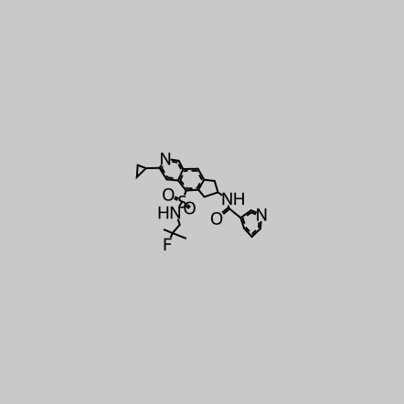 CC(C)(F)CNS(=O)(=O)c1c2c(cc3cnc(C4CC4)cc13)CC(NC(=O)c1cccnc1)C2